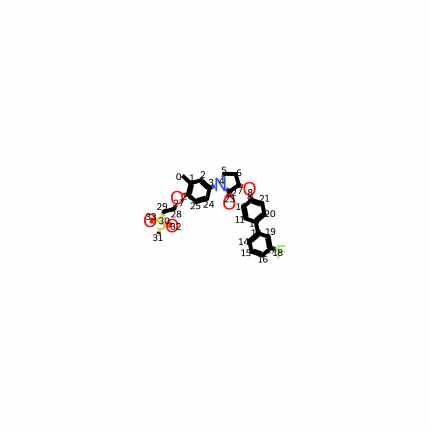 Cc1cc(N2CCC(Oc3ccc(-c4cccc(F)c4)cc3)C2=O)ccc1OCCS(C)(=O)=O